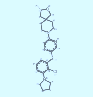 C[C@H]1CC2(CCN(c3cnc(Sc4cccc(N5CCCC5)c4Cl)cn3)CC2)CO1